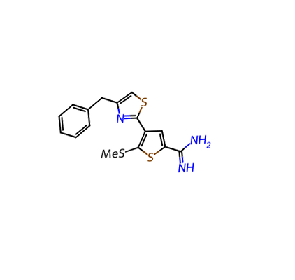 CSc1sc(C(=N)N)cc1-c1nc(Cc2ccccc2)cs1